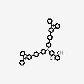 Cc1ccccc1-c1ccc(N(c2ccc(-c3ccc(-c4ccc5c(c4)c4ccccc4n5-c4ccccc4)cc3)cc2)c2ccc(-c3ccc(-c4ccc5c(c4)c4ccccc4n5-c4ccccc4)cc3)cc2)cc1C